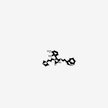 Cc1cccc(C2C(=NCCc3c[nH]c4ccccc34)NC(=O)N2CCCn2ccnc2)c1O